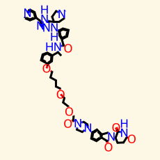 CC(NC(=O)c1cccc(NC2(c3nnc(-c4ccncc4)[nH]3)CCN(C)CC2)c1)c1cccc(OCCCCCOCCCOCC(=O)N2CCN(c3ccc4c(c3)CN(C3CCC(=O)NC3=O)C4=O)CC2)c1